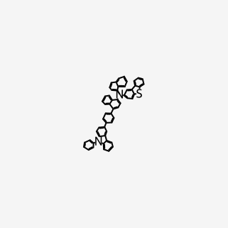 c1ccc(-n2c3ccccc3c3cc(-c4ccc(-c5ccc(N(c6ccc7sc8ccccc8c7c6)c6cccc7ccccc67)c6ccccc56)cc4)ccc32)cc1